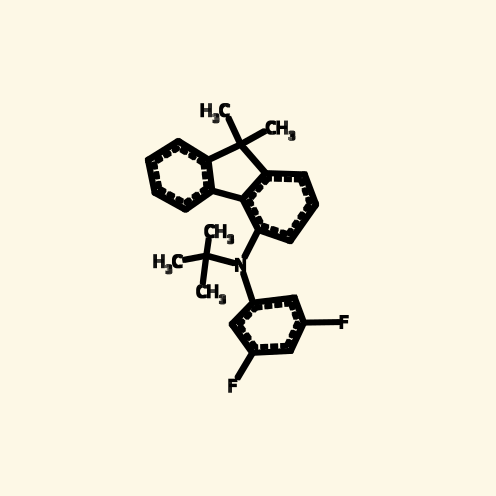 CC1(C)c2ccccc2-c2c(N(c3cc(F)cc(F)c3)C(C)(C)C)cccc21